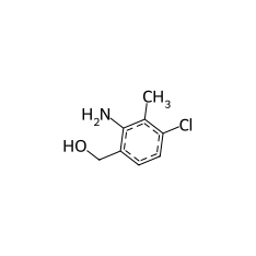 Cc1c(Cl)ccc(CO)c1N